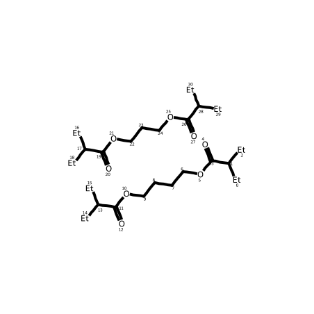 CCC(CC)C(=O)OCCCCOC(=O)C(CC)CC.CCC(CC)C(=O)OCCCOC(=O)C(CC)CC